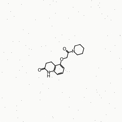 O=C1CCc2c(cccc2OCC(=O)N2CCCCC2)N1